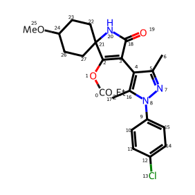 CCOC(=O)OC1=C(c2c(C)nn(-c3ccc(Cl)cc3)c2C)C(=O)NC12CCC(OC)CC2